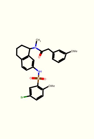 COc1cccc(CC(=O)N(C)C2CCCc3ccc(NS(=O)(=O)c4cc(Br)ccc4OC)cc32)c1